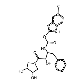 O=C(N[C@@H](Cc1ccccc1)[C@@H](O)C(=O)N1C[C@H](O)[C@@H](O)C1)Oc1cc2cc(Cl)ccc2[nH]1